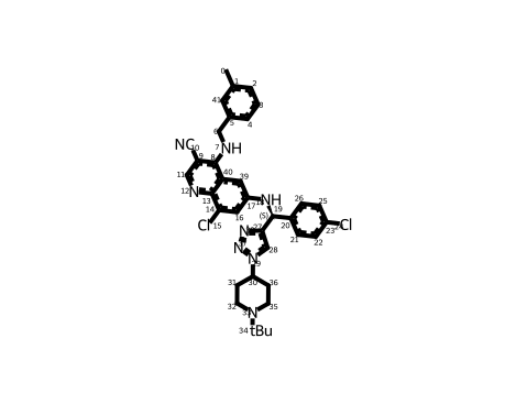 Cc1cccc(CNc2c(C#N)cnc3c(Cl)cc(N[C@@H](c4ccc(Cl)cc4)c4cn(C5CCN(C(C)(C)C)CC5)nn4)cc23)c1